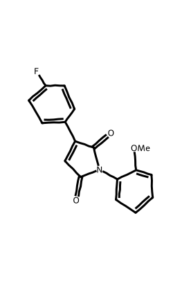 COc1ccccc1N1C(=O)C=C(c2ccc(F)cc2)C1=O